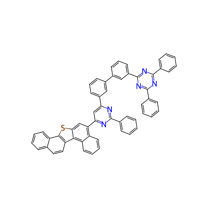 c1ccc(-c2nc(-c3cccc(-c4cccc(-c5nc(-c6ccccc6)nc(-c6ccccc6)n5)c4)c3)cc(-c3cc4sc5c6ccccc6ccc5c4c4ccccc34)n2)cc1